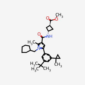 COC(=O)[C@H]1C[C@H](NC(=O)c2cc(-c3cc(C(C)(C)C)cc(C4(C)CC4)c3)n(CC3CCCCC3)c2C)C1